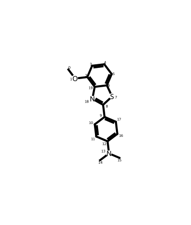 COc1cccc2sc(-c3ccc(N(C)C)cc3)nc12